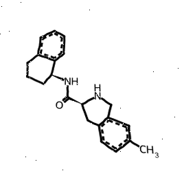 Cc1ccc2c(c1)CN[C@H](C(=O)N[C@H]1CCCc3ccccc31)C2